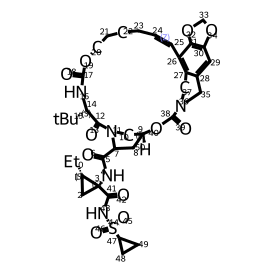 CC[C@H]1C[C@@]1(NC(=O)C1C[C@@H]2CN1C(=O)[C@H](C(C)(C)C)NC(=O)OCCCC/C=C\c1c3c(cc4c1OCO4)CN(C3)C(=O)O2)C(=O)NS(=O)(=O)C1CC1